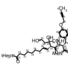 CC#CCOc1ccc(C[C@H](NC(=O)[C@@H](C=CCCCCCCC(=O)CCCCCCC)[C@@](O)(CCO)C(=O)O)C(=O)NC)cc1